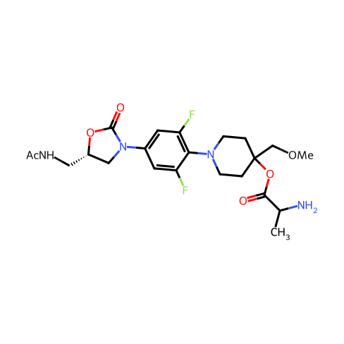 COCC1(OC(=O)C(C)N)CCN(c2c(F)cc(N3C[C@H](CNC(C)=O)OC3=O)cc2F)CC1